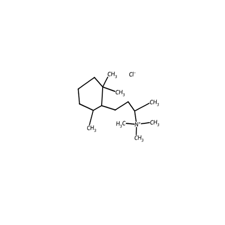 CC1CCCC(C)(C)C1CCC(C)[N+](C)(C)C.[Cl-]